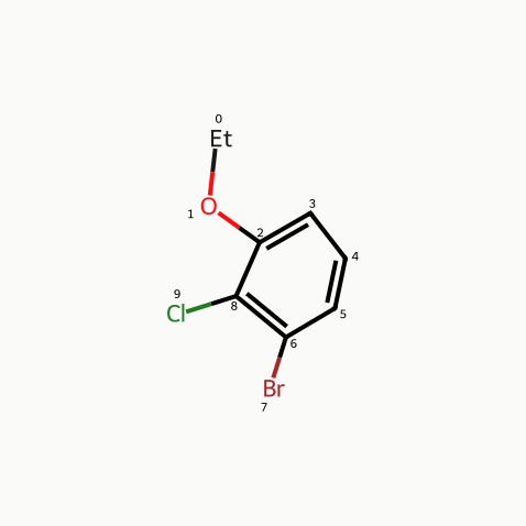 CCOc1cccc(Br)c1Cl